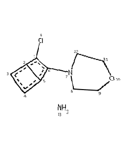 Clc1c2ccc-2c1N1CCOCC1.N